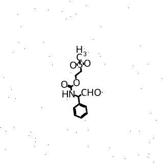 CS(=O)(=O)CCOC(=O)NC([C]=O)c1ccccc1